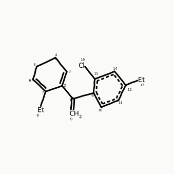 C=C(C1=C[CH]CC=C1CC)c1ccc(CC)cc1Cl